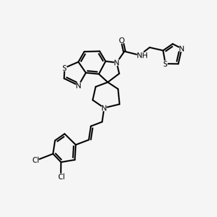 O=C(NCc1cncs1)N1CC2(CCN(CC=Cc3ccc(Cl)c(Cl)c3)CC2)c2c1ccc1scnc21